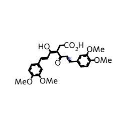 COc1ccc(C=CC(O)=C(CC(=O)O)C(=O)/C=C/c2ccc(OC)c(OC)c2)cc1OC